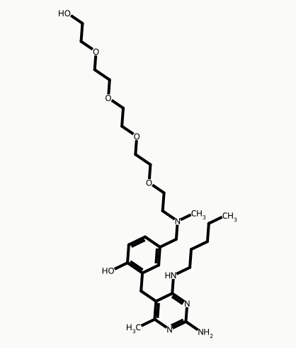 CCCCCNc1nc(N)nc(C)c1Cc1cc(CN(C)CCOCCOCCOCCOCCO)ccc1O